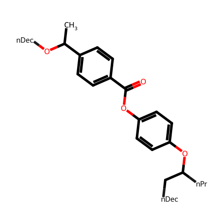 CCCCCCCCCCCC(CCC)Oc1ccc(OC(=O)c2ccc(C(C)OCCCCCCCCCC)cc2)cc1